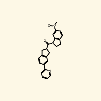 C[S+]([O-])c1ccc2c(c1)N(C(=O)C1Cc3ccc(-c4ccccn4)cc3C1)CC2